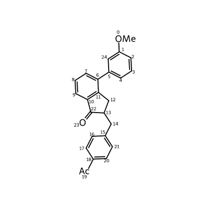 COc1cccc(-c2cccc3c2CC(Cc2ccc(C(C)=O)cc2)C3=O)c1